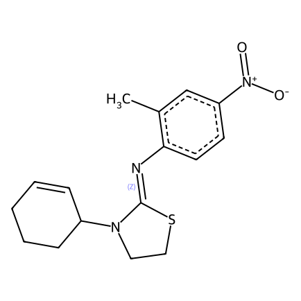 Cc1cc([N+](=O)[O-])ccc1/N=C1\SCCN1C1C=CCCC1